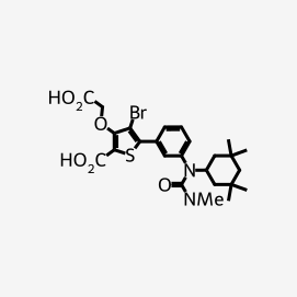 CNC(=O)N(c1cccc(-c2sc(C(=O)O)c(OCC(=O)O)c2Br)c1)C1CC(C)(C)CC(C)(C)C1